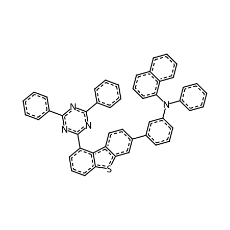 c1ccc(-c2nc(-c3ccccc3)nc(-c3cccc4sc5cc(-c6cccc(N(c7ccccc7)c7cccc8ccccc78)c6)ccc5c34)n2)cc1